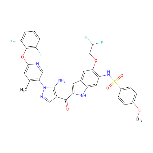 COc1ccc(S(=O)(=O)Nc2cc3[nH]c(C(=O)c4cnn(-c5cnc(Oc6c(F)cccc6F)cc5C)c4N)cc3cc2OCC(F)F)cc1